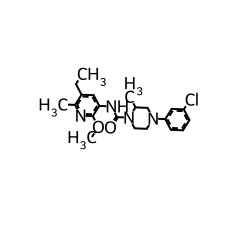 CCc1cc(NC(=O)N2CCN(c3cccc(Cl)c3)CC2C)c(OC)nc1C